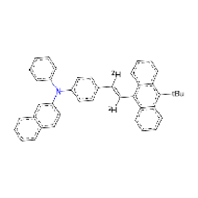 [2H]/C(=C(/[2H])c1c2ccccc2c(C(C)(C)C)c2ccccc12)c1ccc(N(c2ccccc2)c2ccc3ccccc3c2)cc1